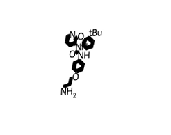 CC(C)(C)c1ccccc1Oc1ncccc1NC(=O)Nc1ccc(OCCCN)cc1